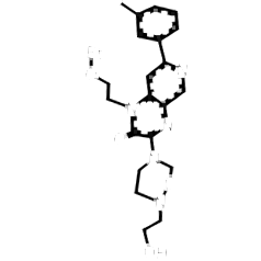 CCOCCn1c(=O)c(N2CCN(CCO)CC2)nc2cnc(-c3cccc(C)c3)cc21